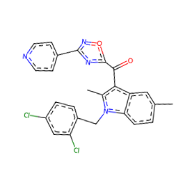 Cc1ccc2c(c1)c(C(=O)c1nc(-c3ccncc3)no1)c(C)n2Cc1ccc(Cl)cc1Cl